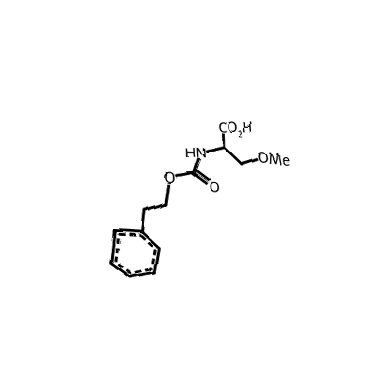 COCC(NC(=O)OCCc1ccccc1)C(=O)O